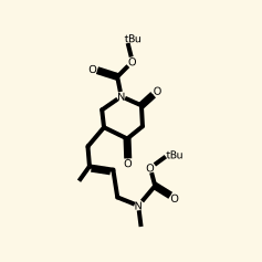 CC(=CCN(C)C(=O)OC(C)(C)C)CC1CN(C(=O)OC(C)(C)C)C(=O)CC1=O